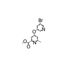 COC(=O)c1cc(Oc2cncc(Br)c2)cc(C)n1